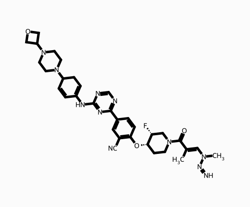 C/C(=C\N(C)N=N)C(=O)N1CC[C@H](Oc2ccc(-c3ncnc(NC4=CCC(N5CCN(C6COC6)CC5)C=C4)n3)cc2C#N)[C@H](F)C1